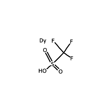 O=S(=O)(O)C(F)(F)F.[Dy]